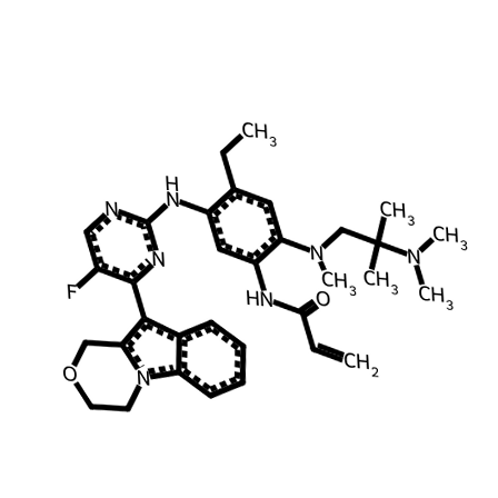 C=CC(=O)Nc1cc(Nc2ncc(F)c(-c3c4n(c5ccccc35)CCOC4)n2)c(CC)cc1N(C)CC(C)(C)N(C)C